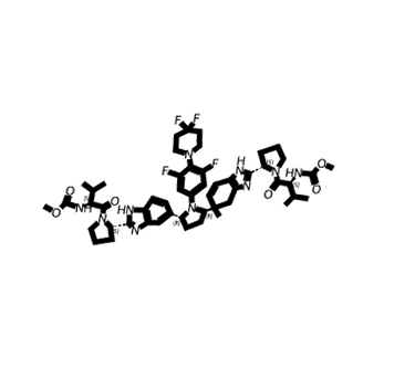 COC(=O)N[C@H](C(=O)N1CCC[C@H]1c1nc2c([nH]1)C=CC(C)([C@H]1CC[C@H](c3ccc4[nH]c([C@@H]5CCCN5C(=O)[C@@H](NC(=O)OC)C(C)C)nc4c3)N1c1cc(F)c(N3CCC(F)(F)CC3)c(F)c1)C2)C(C)C